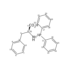 O=C(O)[C@H](Cc1ccccc1)NP(c1ccccc1)c1ccccc1